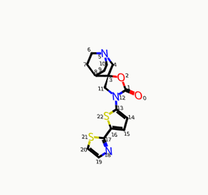 O=C1O[C@]2(CN3CCC2CC3)CN1c1ccc(-c2nccs2)s1